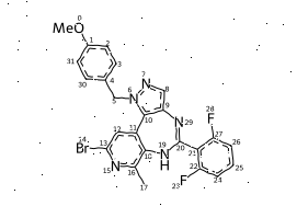 COc1ccc(Cn2ncc3c2-c2cc(Br)nc(C)c2NC(c2c(F)cccc2F)=N3)cc1